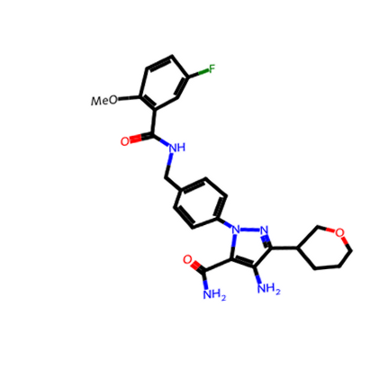 COc1ccc(F)cc1C(=O)NCc1ccc(-n2nc(C3CCCOC3)c(N)c2C(N)=O)cc1